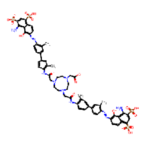 Cc1cc(-c2ccc(NC(=O)CN3CCN(CC(=O)O)CCN(CC(=O)Nc4ccc(-c5ccc(N=Nc6ccc7c(S(=O)(=O)O)cc(S(=O)(=O)O)c(N)c7c6O)c(C)c5)cc4C)CC3)c(C)c2)ccc1N=Nc1ccc2c(S(=O)(=O)O)cc(S(=O)(=O)O)c(N)c2c1O